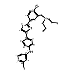 CCCN(CCC)Cc1cc(-c2nc(-c3ccc(Nc4ccnc(C)c4)cc3)co2)ccc1O